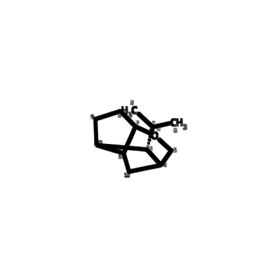 CC(C)[C@@H]1C2COC3CCC1C3C2